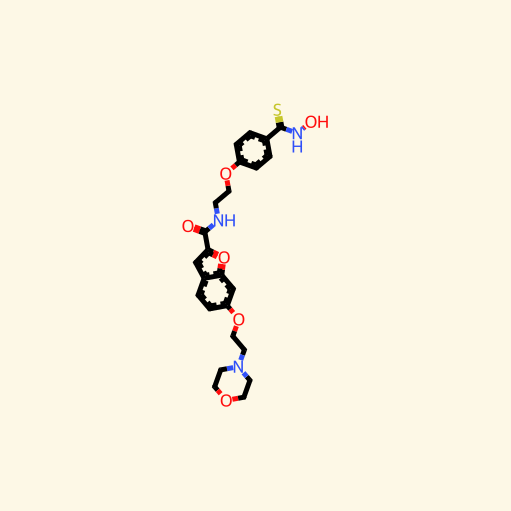 O=C(NCCOc1ccc(C(=S)NO)cc1)c1cc2ccc(OCCN3CCOCC3)cc2o1